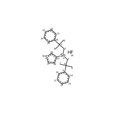 CC(C)([CH2][Sn]([CH2]C(C)(C)c1ccccc1)[c]1ccsc1)c1ccccc1.F